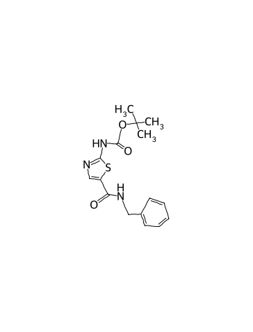 CC(C)(C)OC(=O)Nc1ncc(C(=O)NCc2ccccc2)s1